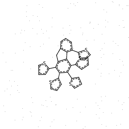 c1csc(-c2cccc3c2-c2c(c(-c4cccs4)c(-c4cccs4)c(-c4cccs4)c2-c2cccs2)C3)c1